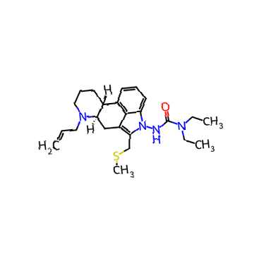 C=CCN1CCC[C@@H]2c3cccc4c3c(c(CSC)n4NC(=O)N(CC)CC)C[C@H]21